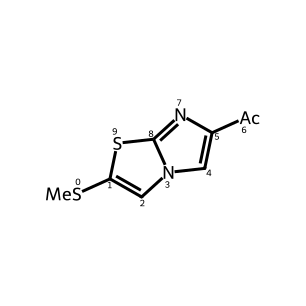 CSc1cn2cc(C(C)=O)nc2s1